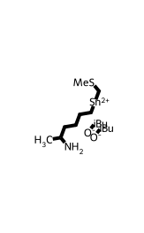 CCC(C)[O-].CCC(C)[O-].CS[CH2][Sn+2][CH2]CCCC(C)N